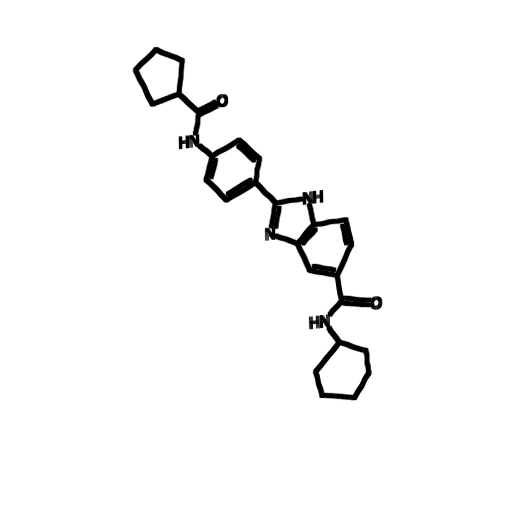 O=C(NC1CCCCC1)c1ccc2[nH]c(-c3ccc(NC(=O)C4CCCC4)cc3)nc2c1